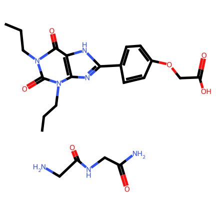 CCCn1c(=O)c2[nH]c(-c3ccc(OCC(=O)O)cc3)nc2n(CCC)c1=O.NCC(=O)NCC(N)=O